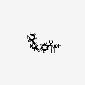 O=C(NO)c1ccc(Sc2nnc(-c3cccnc3)s2)cc1